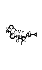 COC[C@@H]1CCc2nnc(-c3cccc(NC(=O)c4cc(-n5cnc(C6CC6)c5)sc4F)n3)n21